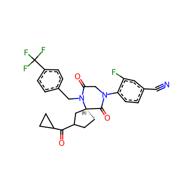 N#Cc1ccc(N2CC(=O)N(Cc3ccc(C(F)(F)F)cc3)[C@@]3(CCC(C(=O)C4CC4)C3)C2=O)c(F)c1